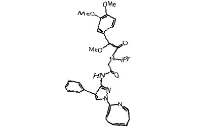 COc1ccc(C(OC)C(=O)N(CC(=O)Nc2nn(-c3ccccn3)cc2-c2ccccc2)C(C)C)cc1OC